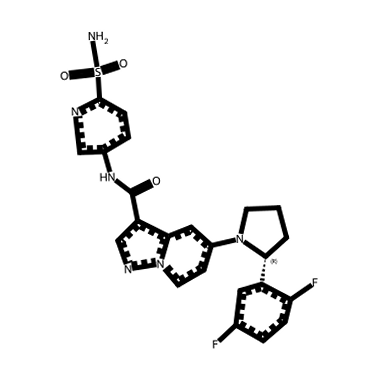 NS(=O)(=O)c1ccc(NC(=O)c2cnn3ccc(N4CCC[C@@H]4c4cc(F)ccc4F)cc23)cn1